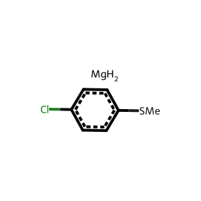 CSc1ccc(Cl)cc1.[MgH2]